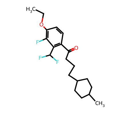 CCOc1ccc(C(=O)CCCC2CCC(C)CC2)c(C(F)F)c1F